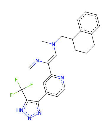 C=N/C(=C\N(C)CC1CCCc2ccccc21)c1cc(-c2nn[nH]c2C(F)(F)F)ccn1